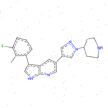 Cc1c(F)cccc1-c1c[nH]c2ncc(-c3cnn(C4CCNCC4)c3)cc12